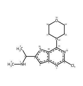 CNC(C)c1cc2nc(Cl)nc(N3CCOCC3)c2s1